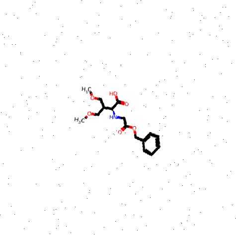 COCC(COC)[C@H](NCC(=O)OCc1ccccc1)C(=O)O